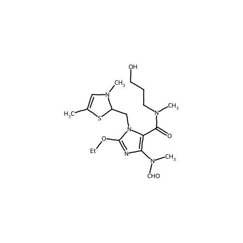 CCOc1nc(N(C)C=O)c(C(=O)N(C)CCCO)n1CC1SC(C)=CN1C